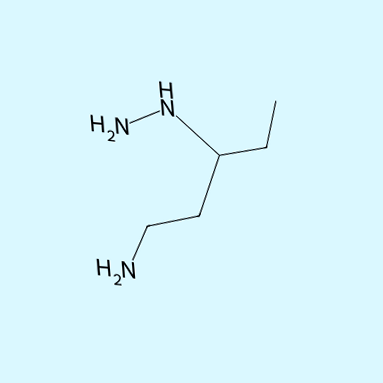 CCC(CCN)NN